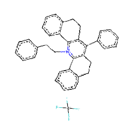 F[B-](F)(F)F.c1ccc(CC[n+]2c3c(c(-c4ccccc4)c4c2-c2ccccc2CC4)CCc2ccccc2-3)cc1